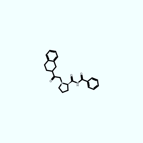 O=C(NC(=O)[C@H]1CCCN1CC(=O)C1CCc2ccccc2C1)c1ccccc1